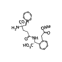 COC(=O)Cc1ccccc1[C@@H](NC(=O)CC[C@@](N)(Cc1ccccc1)C(=O)O)C(=O)O